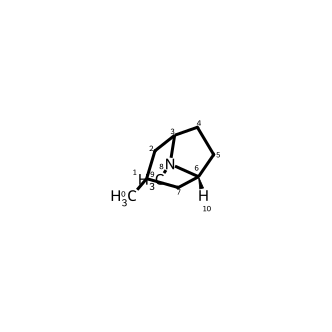 CC1CC2CC[C@H](C1)N2C